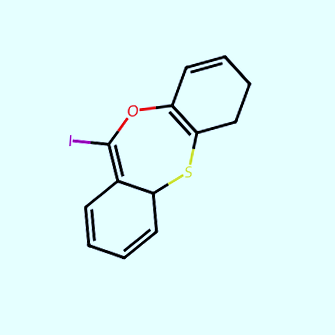 IC1=C2C=CC=CC2SC2=C(C=CCC2)O1